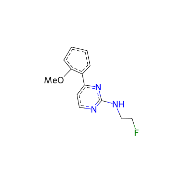 COc1ccccc1-c1ccnc(NCCF)n1